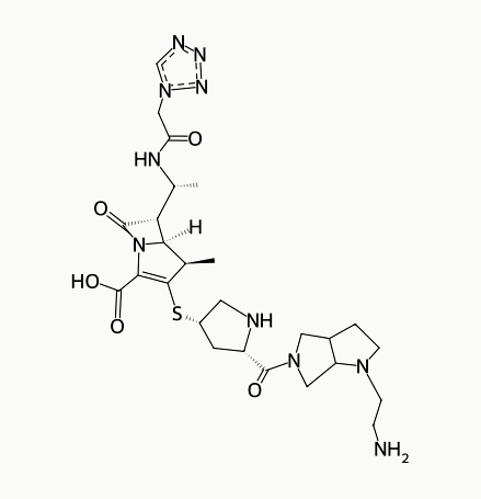 C[C@@H](NC(=O)Cn1cnnn1)[C@H]1C(=O)N2C(C(=O)O)=C(S[C@@H]3CN[C@H](C(=O)N4CC5CCN(CCN)C5C4)C3)[C@H](C)[C@H]12